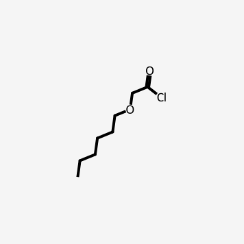 CCCCCCOCC(=O)Cl